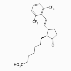 O=C(O)CCCCCC[C@@H]1C(=O)CC[C@H]1C=Cc1c(C(F)(F)F)cccc1C(F)(F)F